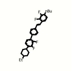 CCCCc1ccc(/C=C/c2ccc(-c3ccc(C4CCC(CC)CC4)c(F)c3F)cc2)c(F)c1F